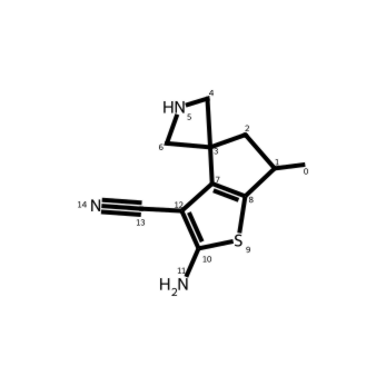 CC1CC2(CNC2)c2c1sc(N)c2C#N